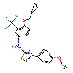 COc1ccc(-c2csc(Nc3ccc(OCC4CC4)c(C(F)(F)F)c3)n2)cc1